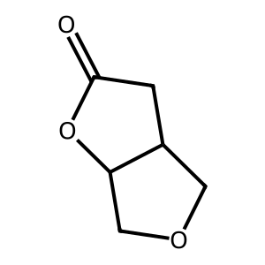 O=C1CC2COCC2O1